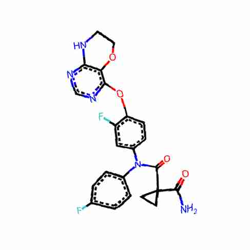 NC(=O)C1(C(=O)N(c2ccc(F)cc2)c2ccc(Oc3ncnc4c3OCCN4)c(F)c2)CC1